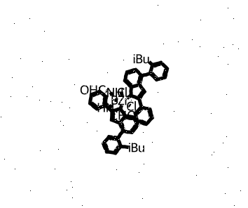 CCC(C)c1ccccc1-c1cccc2c1C=C(c1ccccc1)[CH]2[Zr]([Cl])([Cl])([B](NC=O)NC=O)[CH]1C(c2ccccc2)=Cc2c(-c3ccccc3C(C)CC)cccc21